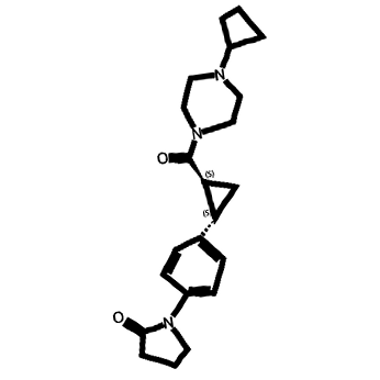 O=C([C@H]1C[C@@H]1c1ccc(N2CCCC2=O)cc1)N1CCN(C2CCC2)CC1